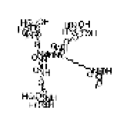 CCO[C@H]1C[C@H](O)[C@H](NC(=O)CCCCCCCCCCC(=O)NC(CCC(=O)NC(CCC(=O)NCCOCCOC2O[C@H](CO)C(O)C(O)C2NC(C)=O)C(=O)NCCOCCOC2OC(CO)C(O)C(O)C2NC(C)=O)C(=O)NCCOCCOC2OC(CO)C(O)C(O)C2NC(C)=O)C1